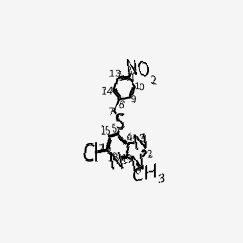 Cn1cnc2c(SCc3ccc([N+](=O)[O-])cc3)cc(Cl)nc21